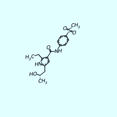 CCc1[nH]c(C[C@H](C)O)cc1C(=O)Nc1ccc(S(C)(=O)=O)cc1